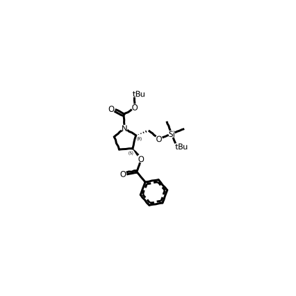 CC(C)(C)OC(=O)N1CC[C@H](OC(=O)c2ccccc2)[C@H]1CO[Si](C)(C)C(C)(C)C